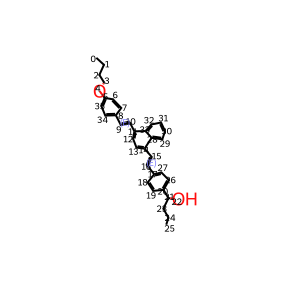 CCCCOc1ccc(/C=C/c2ccc(/C=C/c3ccc(C(O)CCC)cc3)c3ccccc23)cc1